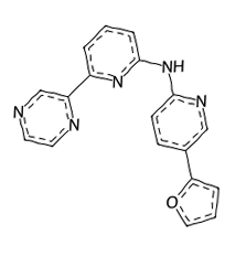 c1cc(Nc2ccc(-c3ccco3)cn2)nc(-c2cnccn2)c1